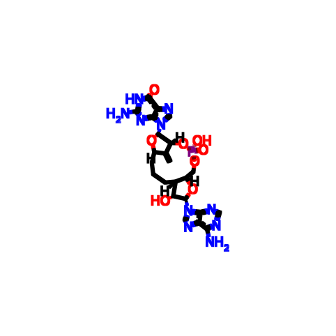 C=C1[C@H]2OP(=O)(O)OC[C@H]3O[C@@H](n4cnc5c(N)ncnc54)[C@H](O)[C@@H]3CCC[C@H]1O[C@H]2n1cnc2c(=O)[nH]c(N)nc21